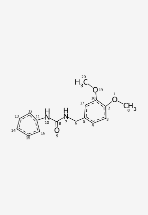 COc1ccc(CNC(=O)Nc2ccccc2)cc1OC